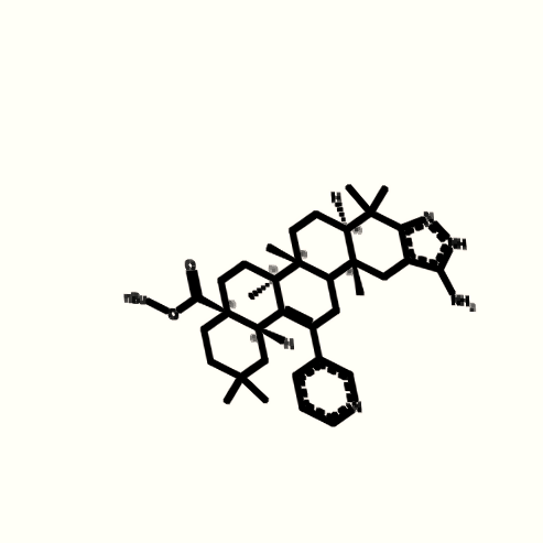 CCCCOC(=O)[C@]12CCC(C)(C)C[C@H]1C1=C(c3cccnc3)CC3[C@@]4(C)Cc5c(n[nH]c5N)C(C)(C)[C@@H]4CC[C@@]3(C)[C@]1(C)CC2